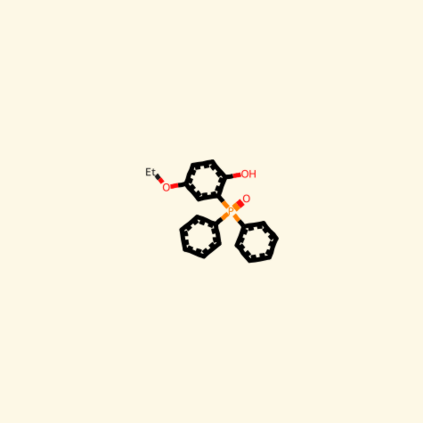 CCOc1ccc(O)c(P(=O)(c2ccccc2)c2ccccc2)c1